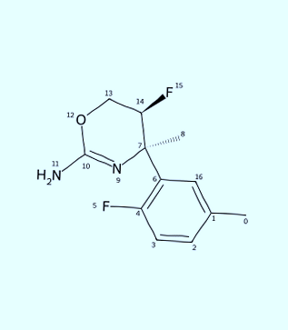 Cc1ccc(F)c([C@@]2(C)N=C(N)OC[C@H]2F)c1